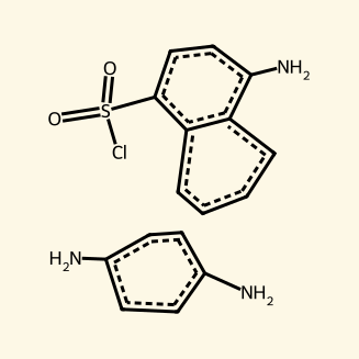 Nc1ccc(N)cc1.Nc1ccc(S(=O)(=O)Cl)c2ccccc12